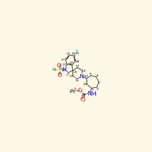 CC(C)OC(=O)NC1CCCCC(N2CCC3(CC2)CN(S(C)(=O)=O)c2ccc(F)cc23)C1